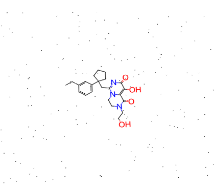 CCc1cccc(C2(Cc3nc(=O)c(O)c4n3CCN(CCO)C4=O)CCCC2)c1